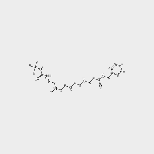 CN(CCNC(=O)OC(C)(C)C)CCOCCOCCC(=O)OCc1ccccc1